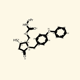 CCCNC(=O)OC[C@@H]1[C@@H](S)CC(=O)N1Cc1ccc(Oc2ccccc2)cc1